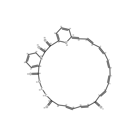 O=C1/C=C/C=C\C=C/C=C\C=C\C=C2/C=CC=C(O2)C(=O)C(=O)N2CC=CC=C2C(=O)OCCC(=O)C/C=C/C=C/1